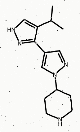 CC(C)c1c[nH]nc1-c1cnn(C2CCNCC2)c1